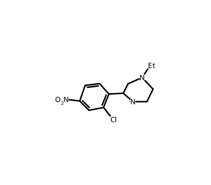 CCN1CC[N]C(c2ccc([N+](=O)[O-])cc2Cl)C1